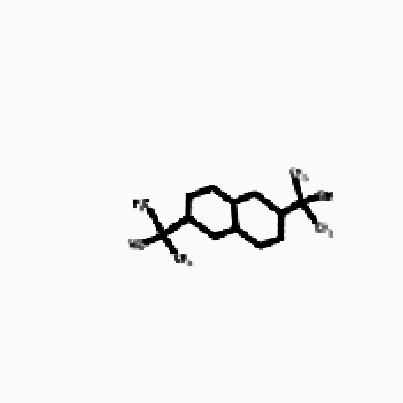 OC(C1CCC2CC(C(O)(C(F)(F)F)C(F)(F)F)CCC2C1)(C(F)(F)F)C(F)(F)F